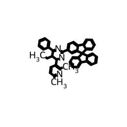 CCC1C(c2ccccc2)=NC(c2ccc3c(c2)C2(c4ccccc4-c4ccccc42)c2ccccc2-3)=NC1c1ccc(C)nc1C